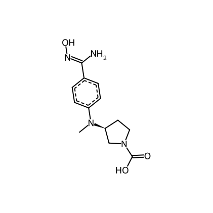 CN(c1ccc(C(N)=NO)cc1)[C@H]1CCN(C(=O)O)C1